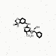 CCOC(=O)c1cnc(Nc2ccc3c(c2)S(=O)(=O)CO3)nc1N[C@H](CO)c1ccccc1